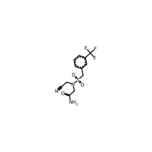 N#CCN(CC(N)=O)S(=O)(=O)Cc1cccc(C(F)(F)F)c1